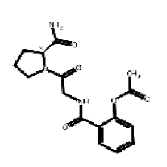 CC(=O)Oc1ccccc1C(=O)NCC(=O)N1CCC[C@H]1C(N)=O